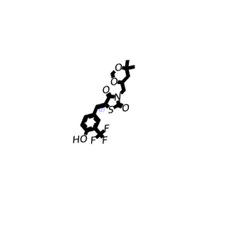 CC1(C)CC(CN2C(=O)S/C(=C\c3ccc(O)c(C(F)(F)F)c3)C2=O)OCO1